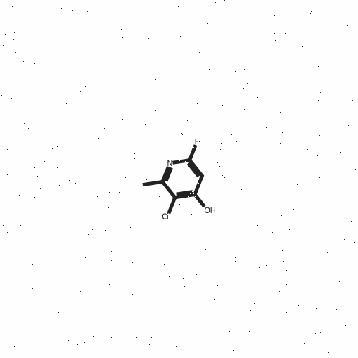 Cc1nc(F)cc(O)c1Cl